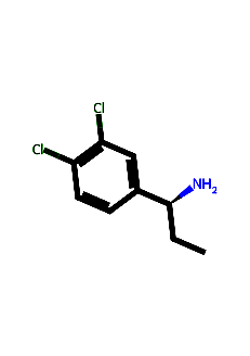 CC[C@H](N)c1ccc(Cl)c(Cl)c1